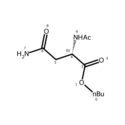 CCCCOC(=O)[C@H](CC(N)=O)NC(C)=O